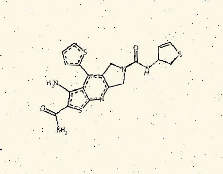 NC(=O)c1sc2nc3c(c(-c4cccs4)c2c1N)CN(C(=O)NC1C=CSC1)C3